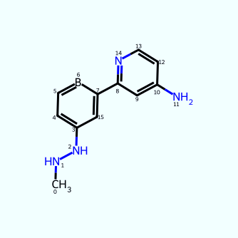 CNNc1ccbc(-c2cc(N)ccn2)c1